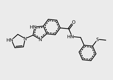 CSc1ccccc1CNC(=O)c1ccc2[nH]c(N3C=CNC3)nc2c1